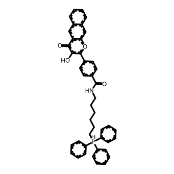 O=C(NCCCCCC[PH](c1ccccc1)(c1ccccc1)c1ccccc1)c1ccc(-c2oc3cc4ccccc4cc3c(=O)c2O)cc1